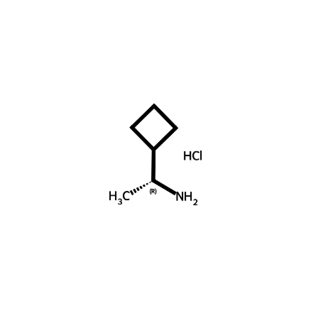 C[C@@H](N)C1CCC1.Cl